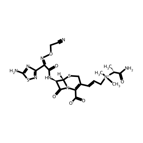 C[C@H](C(N)=O)[N+](C)(C)C/C=C/C1=C(C(=O)[O-])N2C(=O)[C@@H](NC(=O)/C(=N\OCC#N)c3nsc(N)n3)[C@@H]2SC1